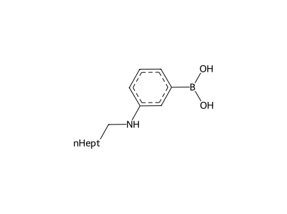 CCCCCCCCNc1cccc(B(O)O)c1